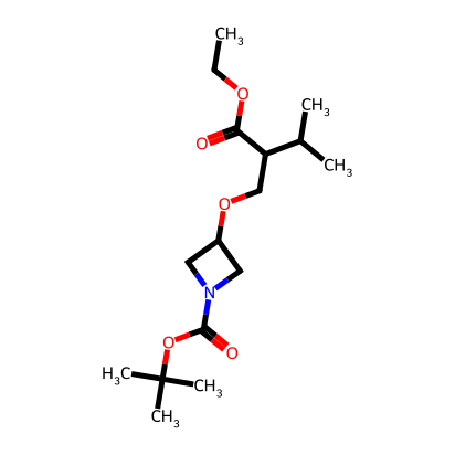 CCOC(=O)C(COC1CN(C(=O)OC(C)(C)C)C1)C(C)C